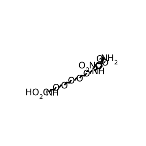 NS(=O)(=O)c1ccc(NCCOCCOCCOCCOCCOCCNC(=O)O)c([N+](=O)[O-])c1